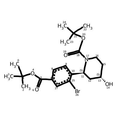 CC(C)(C)OC(=O)c1ccc([C@@H]2C[C@@H](O)CCN2C(=O)OC(C)(C)C)c(Br)c1